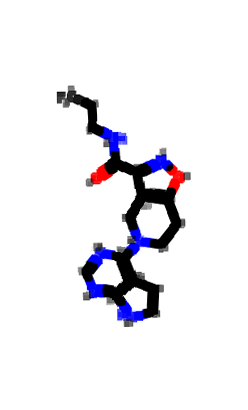 O=C(NCCC(F)(F)F)c1noc2c1CN(c1ncnc3[nH]ccc13)CC2